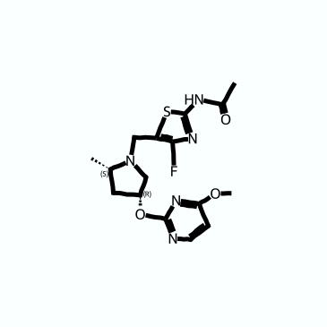 COc1ccnc(O[C@@H]2C[C@H](C)N(Cc3sc(NC(C)=O)nc3F)C2)n1